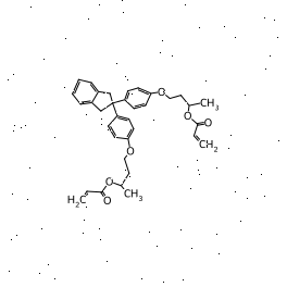 C=CC(=O)OC(C)CCOc1ccc(C2(c3ccc(OCCC(C)OC(=O)C=C)cc3)Cc3ccccc3C2)cc1